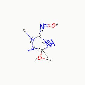 CN1NC2(CO2)NC1N=O